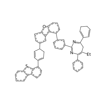 CCC1=C(c2ccccc2)N=C(c2cccc(-c3cccc4oc5ccc(C6C=CC(c7cccc8c7sc7ccccc78)=CC6)cc5c34)c2)N=C(C2=CCCC=C2)C1